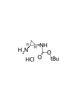 CC(C)(C)OC(=O)N[C@@H]1C[C@@H]1N.Cl